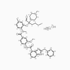 CCCCC(C=O)(Oc1cc(C)ccc1N(C)C(=O)c1ccc(NC(=O)c2cccc3[nH]c(Cc4ccccn4)nc23)c(OC)c1)N1CCN(C)CC1.Cl.Cl.Cl